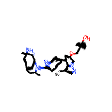 CC1CC2CC(CC(C)(N)C2)N1c1ccc(-c2cc(OCC(C)(C)O)cn3ncc(C#N)c23)cn1